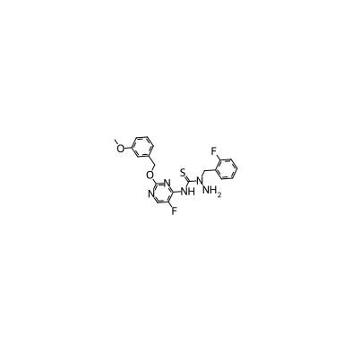 COc1cccc(COc2ncc(F)c(NC(=S)N(N)Cc3ccccc3F)n2)c1